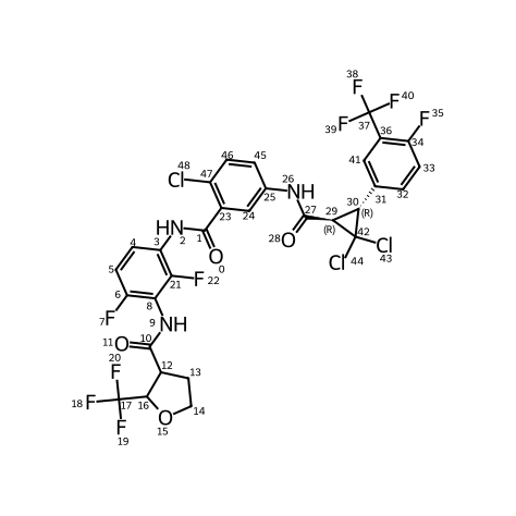 O=C(Nc1ccc(F)c(NC(=O)C2CCOC2C(F)(F)F)c1F)c1cc(NC(=O)[C@H]2[C@H](c3ccc(F)c(C(F)(F)F)c3)C2(Cl)Cl)ccc1Cl